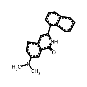 CN(C)c1ccc2cc(-c3cccc4ccccc34)[nH]c(=O)c2c1